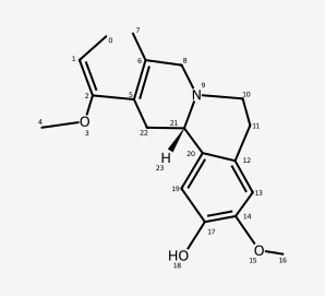 C/C=C(/OC)C1=C(C)CN2CCc3cc(OC)c(O)cc3[C@@H]2C1